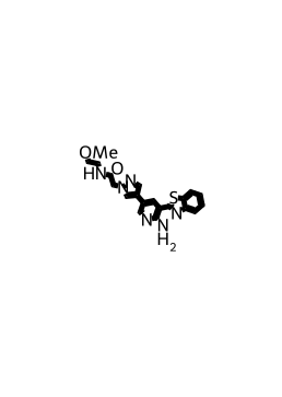 COCCNC(=O)Cn1cc(-c2cnc(N)c(-c3nc4ccccc4s3)c2)cn1